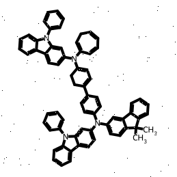 CC1(C)c2ccccc2-c2cc(N(c3ccc(C4=CC=C(N(C5=CCC=CC=C5)c5ccc6c7ccccc7n(-c7ccccc7)c6c5)CC4)cc3)c3ccc4c5ccccc5n(-c5ccccc5)c4c3)ccc21